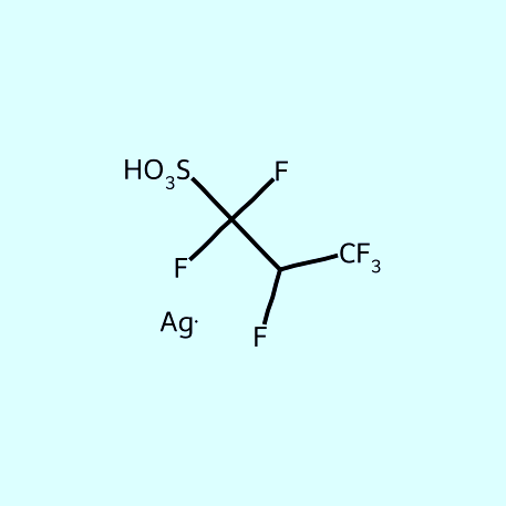 O=S(=O)(O)C(F)(F)C(F)C(F)(F)F.[Ag]